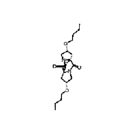 CCCCO[C@H]1CN2C(=O)[C@]34C[C@@H](OCCCC)CN3C(=O)[C@@]2(C1)SS4